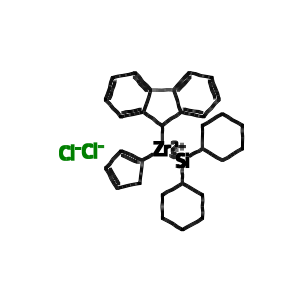 C1=CC[C]([Zr+2]([CH]2c3ccccc3-c3ccccc32)=[Si](C2CCCCC2)C2CCCCC2)=C1.[Cl-].[Cl-]